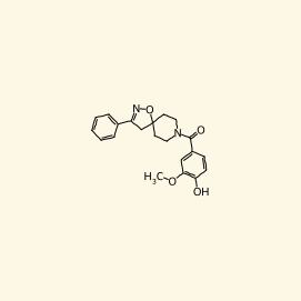 COc1cc(C(=O)N2CCC3(CC2)CC(c2ccccc2)=NO3)ccc1O